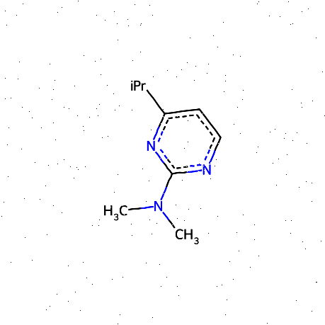 CC(C)c1ccnc(N(C)C)n1